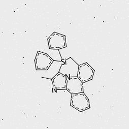 Cc1nc2c3ccccc3c3cccc4c3n2c1[Si](c1ccccc1)(c1ccccc1)C4